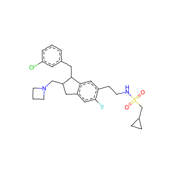 O=S(=O)(CC1CC1)NCCc1cc2c(cc1F)CC(CN1CCC1)C2Cc1cccc(Cl)c1